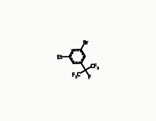 CCc1[c]c(Br)cc(C(F)(C(F)(F)F)C(F)(F)F)c1